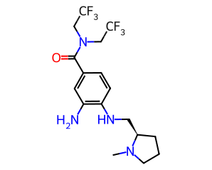 CN1CCC[C@@H]1CNc1ccc(C(=O)N(CC(F)(F)F)CC(F)(F)F)cc1N